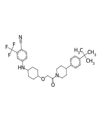 CC(C)(C)c1ccc(C2CCN(C(=O)COC3CCC(Nc4ccc(C#N)c(C(F)(F)F)c4)CC3)CC2)cc1